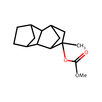 COC(=O)OC1(C)CC2CC1C1C3CCC(C3)C21